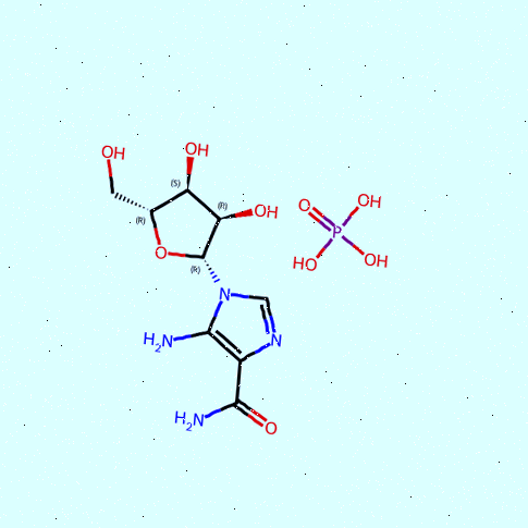 NC(=O)c1ncn([C@@H]2O[C@H](CO)[C@@H](O)[C@H]2O)c1N.O=P(O)(O)O